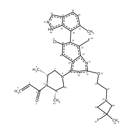 C=CC(=O)N1[C@H](C)CN(c2nc(OCCN3CC(C)(F)C3)nc3c(F)c(-c4c(C)ccc5cn[nH]c45)c(Cl)cc23)C[C@@H]1C